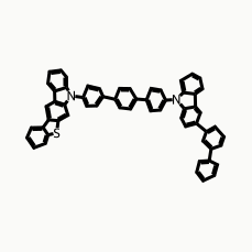 c1ccc(-c2cccc(-c3ccc4c(c3)c3ccccc3n4-c3ccc(-c4ccc(-c5ccc(-n6c7ccccc7c7cc8c(cc76)sc6ccccc68)cc5)cc4)cc3)c2)cc1